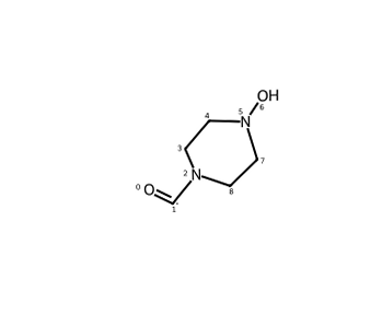 O=[C]N1CCN(O)CC1